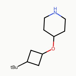 CC(C)(C)C1CC(OC2CCNCC2)C1